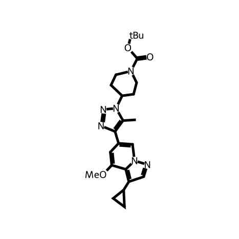 COc1cc(-c2nnn(C3CCN(C(=O)OC(C)(C)C)CC3)c2C)cn2ncc(C3CC3)c12